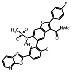 CNC(=O)c1c(-c2ccc(F)cc2)oc2cc(N(C)S(C)(=O)=O)c(-c3cc(-c4nc5cccnc5o4)ccc3Cl)cc12